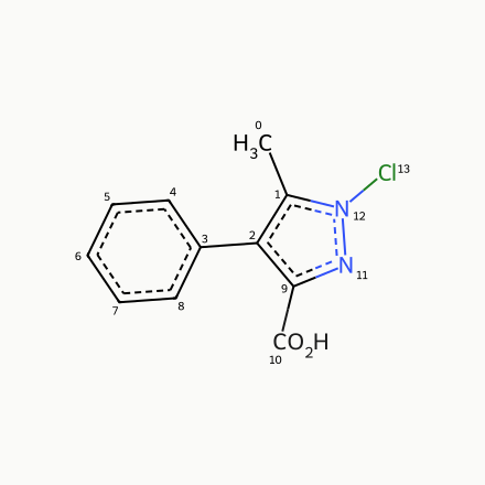 Cc1c(-c2ccccc2)c(C(=O)O)nn1Cl